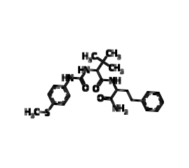 CSc1ccc(NC(=O)NC(C(=O)NC(CCc2ccccc2)C(N)=O)C(C)(C)C)cc1